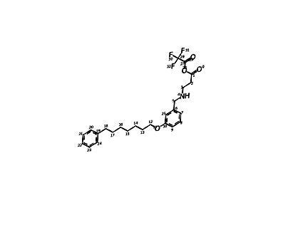 O=C(CCNCc1cccc(OCCCCCCCc2ccccc2)c1)OC(=O)C(F)(F)F